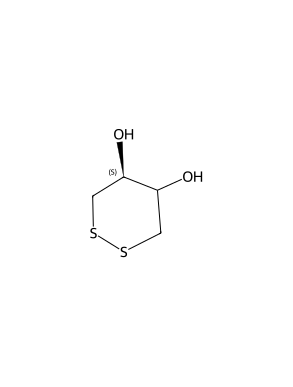 OC1CSSC[C@H]1O